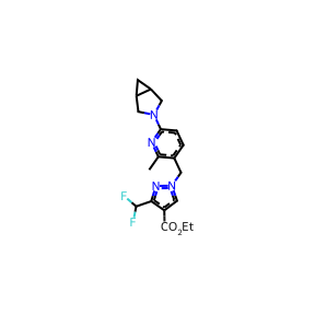 CCOC(=O)c1cn(Cc2ccc(N3CC4CC4C3)nc2C)nc1C(F)F